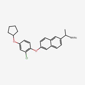 CC(=O)NC(C)c1ccc2cc(Oc3ccc(OC4CCCC4)cc3Cl)ccc2c1